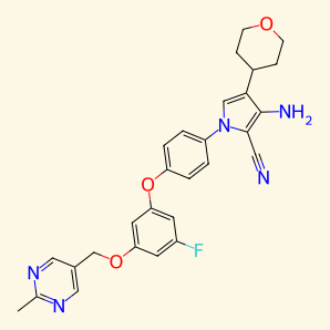 Cc1ncc(COc2cc(F)cc(Oc3ccc(-n4cc(C5CCOCC5)c(N)c4C#N)cc3)c2)cn1